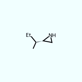 CCC(C)[C@H]1CN1